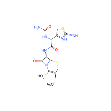 CC(=O)OCC1=C(C(=O)O)N2C(=O)[C@@H](NC(=O)C(NC(N)=O)c3csc(=N)[nH]3)C2SC1